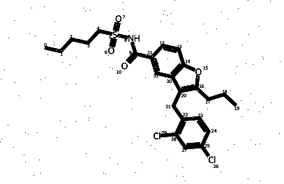 CCCCCS(=O)(=O)NC(=O)c1ccc2oc(CCC)c(Cc3ccc(Cl)cc3Cl)c2c1